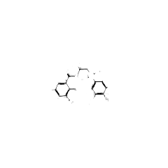 Cc1cc(S(=O)(=O)CC(C)NC(=O)c2cccc([N+](=O)[O-])c2C(=O)O)ccc1N